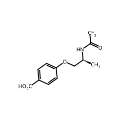 C[C@@H](COc1ccc(C(=O)O)cc1)NC(=O)C(F)(F)F